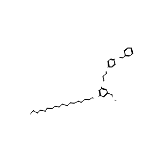 CCCCCCCCCCCCCCCCCCOc1cc(OCCCOc2ccc(OCc3ccccc3)cc2)cc(C(=O)OC)c1